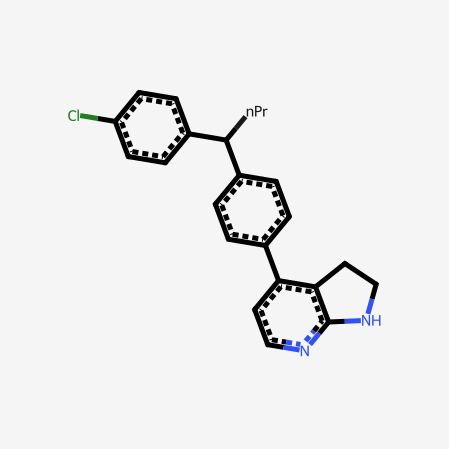 CCCC(c1ccc(Cl)cc1)c1ccc(-c2ccnc3c2CCN3)cc1